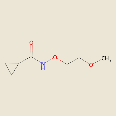 COCCONC(=O)C1CC1